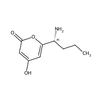 CCC[C@@H](N)c1cc(O)cc(=O)o1